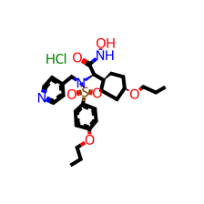 CCCOc1ccc(S(=O)(=O)N(Cc2ccncc2)[C@@H](C(=O)NO)[C@H]2CC[C@H](OCCC)CC2)cc1.Cl